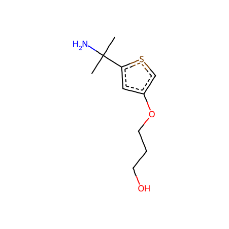 CC(C)(N)c1cc(OCCCO)cs1